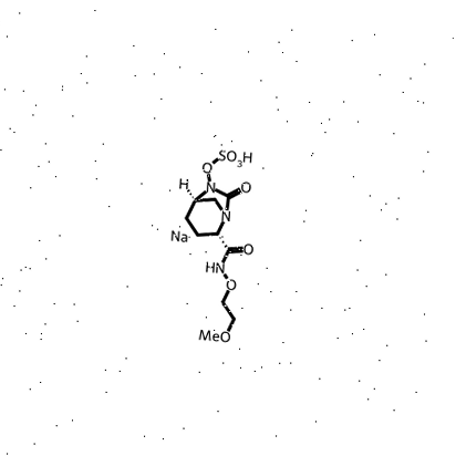 COCCONC(=O)[C@@H]1CC[C@@H]2CN1C(=O)N2OS(=O)(=O)O.[Na]